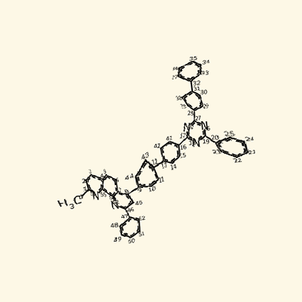 Cc1ccc2ccc3c(-c4ccc(-c5ccc(-c6nc(-c7ccccc7)nc(-c7ccc(-c8ccccc8)cc7)n6)cc5)cc4)cc(-c4ccccc4)nc3c2n1